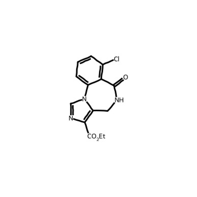 CCOC(=O)c1ncn2c1CNC(=O)c1c(Cl)cccc1-2